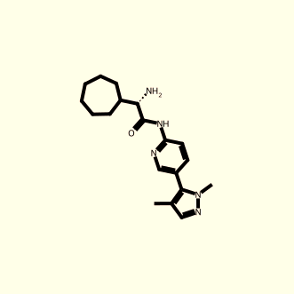 Cc1cnn(C)c1-c1ccc(NC(=O)[C@@H](N)C2CCCCCC2)nc1